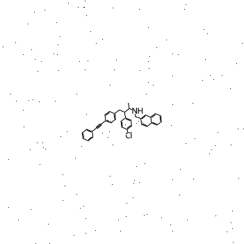 CC(NCc1ccc2ccccc2c1)C(Cc1ccc(C#Cc2ccccc2)cc1)c1ccc(Cl)cc1